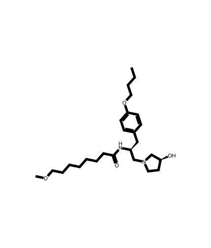 CCCCOc1ccc(C[C@@H](CN2CC[C@H](O)C2)NC(=O)CCCCCCCOC)cc1